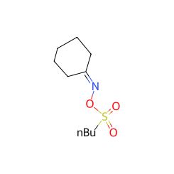 CCCCS(=O)(=O)ON=C1CCCCC1